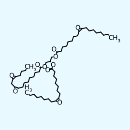 CCCCCCCCC1OC1CCCCCCCC(=O)OCC(COC(=O)CCCCCCCC1OC1CC1OC1CCCC)OC(=O)CCCCCCCC1OC1CCCCCCCC